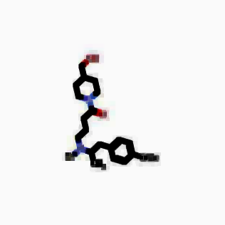 CCN(CCCC(=O)N1CCC(CO)CC1)C(C)Cc1ccc(OC)cc1